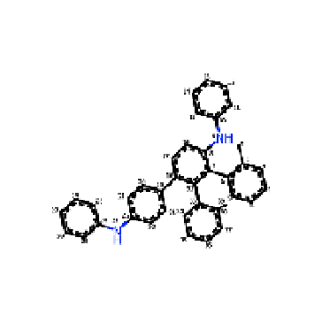 Cc1ccccc1-c1c(Nc2ccccc2)ccc(-c2ccc(Nc3ccccc3)cc2)c1-c1ccccc1C